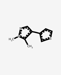 Cc1c(-c2ccsc2)cnn1C